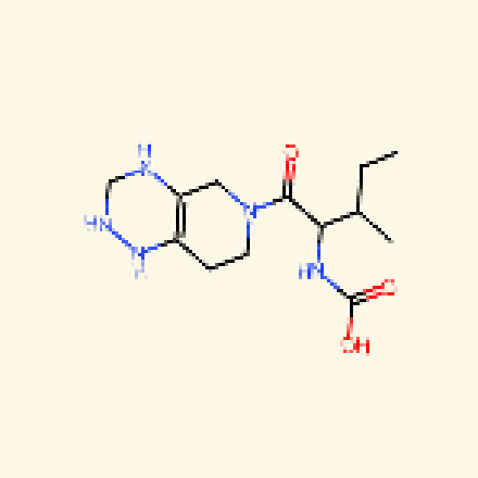 CCC(C)C(NC(=O)O)C(=O)N1CCC2=C(C1)NCNN2